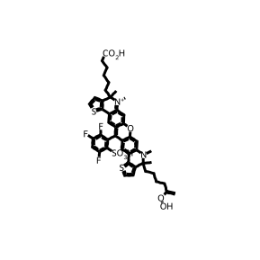 C=C(CCCCC1(C)c2ccsc2-c2cc3c(cc2N1C)Oc1cc2c(cc1=C3c1c(F)c(F)cc(F)c1S(=O)(=O)O)-c1sccc1C(C)(CCCCCC(=O)O)[N+]=2C)OO